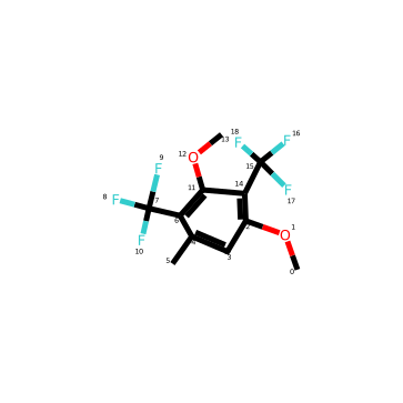 COc1cc(C)c(C(F)(F)F)c(OC)c1C(F)(F)F